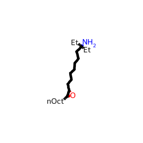 CCCCCCCCC1OC1CCCCCCCC(N)(CC)CC